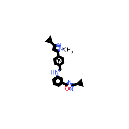 Cn1nc(C2CC2)cc1C12CCC(CNc3cccc(-c4nc(C5CC5)no4)c3)(CC1)CC2